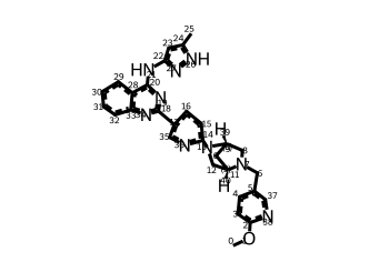 COc1ccc(CN2C[C@@H]3C[C@H]2CN3c2ccc(-c3nc(Nc4cc(C)[nH]n4)c4ccccc4n3)cn2)cn1